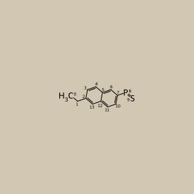 CCc1ccc2cc(P=S)ccc2c1